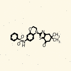 CC1(C)CC(=O)c2sc(N3CCOc4cc(NS(=O)(=O)c5ccccc5)ccc43)nc2C1